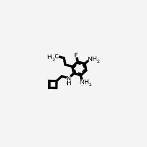 CCCc1c(F)c(N)cc(N)c1NCC1CCC1